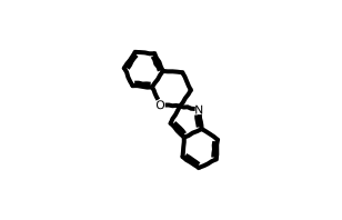 C1=c2ccccc2=NC12CCc1ccccc1O2